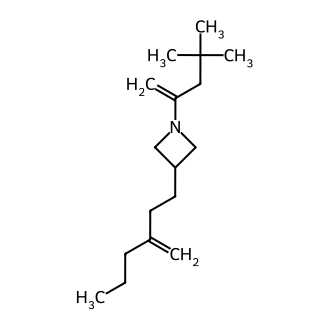 C=C(CCC)CCC1CN(C(=C)CC(C)(C)C)C1